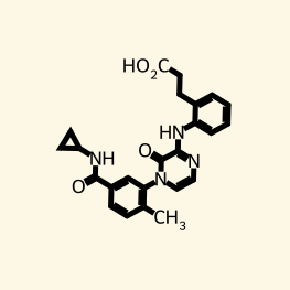 Cc1ccc(C(=O)NC2CC2)cc1-n1ccnc(Nc2ccccc2CCC(=O)O)c1=O